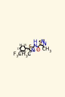 Cc1nnsc1C(=O)Nc1nc(C)c(-c2cccc(C(F)(F)F)c2)s1